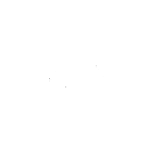 Cc1c(-c2ccc(C(C)(C)C)nc2)nc2n(c1=O)CCCS2